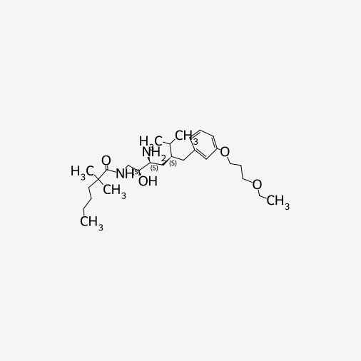 CCCCC(C)(C)C(=O)NC[C@H](O)[C@@H](N)C[C@H](Cc1cccc(OCCCOCC)c1)C(C)C